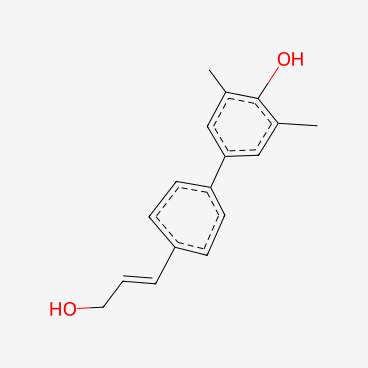 Cc1cc(-c2ccc(C=CCO)cc2)cc(C)c1O